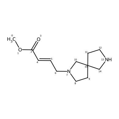 COC(=O)/C=C/CN1CCC2(CCNC2)C1